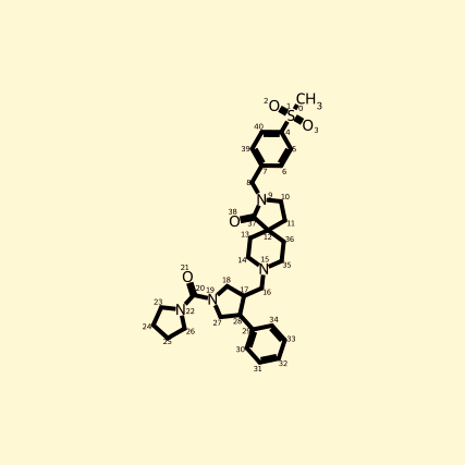 CS(=O)(=O)c1ccc(CN2CCC3(CCN(CC4CN(C(=O)N5CCCC5)CC4c4ccccc4)CC3)C2=O)cc1